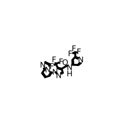 O=C(Nc1ccnc(C(F)(F)F)c1)c1cnn(-c2cccc3nccn23)c1C(F)(F)F